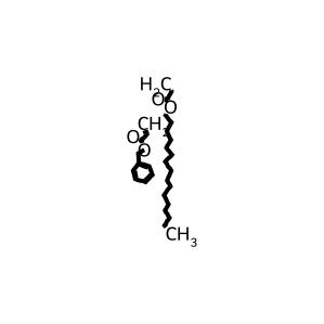 C=CC(=O)OCCCCCCCCCCCCCCCC.C=CC(=O)OCc1ccccc1